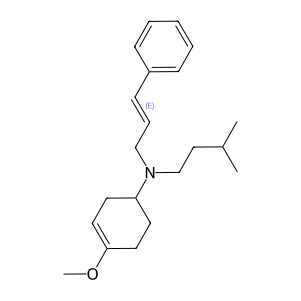 COC1=CCC(N(C/C=C/c2ccccc2)CCC(C)C)CC1